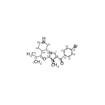 CC(C)C(Oc1ncc(C(=O)c2ccc(Br)cc2)n1C)C1CCNCC1